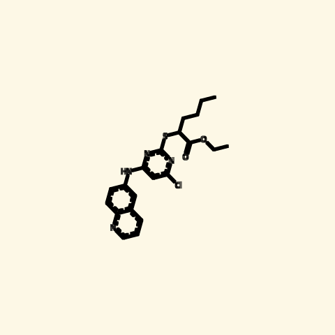 CCCCC(Sc1nc(Cl)cc(Nc2ccc3ncccc3c2)n1)C(=O)OCC